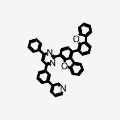 c1ccc(-c2cc(-c3cccc(-c4cccnc4)c3)nc(-c3ccc(-c4cccc5c4oc4ccccc45)c4c3oc3ccccc34)n2)cc1